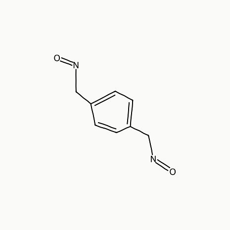 O=NCc1ccc(CN=O)cc1